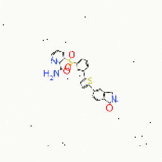 CN1Cc2cc(-c3ccc(-c4cccc(S(=O)(=O)c5cccnc5C(N)=O)c4)s3)ccc2C1=O